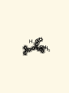 CC1(c2cc3ccccc3s2)C=CC(N(c2ccc(-c3ccc4c(c3)c3ccccc3n4-c3ccccc3)cc2)c2ccc3c(c2)C(C)(C)c2ccccc2-3)=CC1